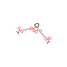 C=C(C)C(=O)OCCCCOC(=O)c1ccccc1C(=O)OCCCCOC(=O)C(=C)C